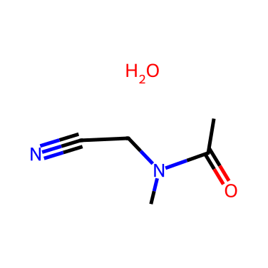 CC(=O)N(C)CC#N.O